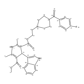 COC(=O)C1=C(C)NC(C)=C(C(=O)OCCN2CCC(C(=O)c3ccc(F)cc3)CC2)C1c1c[nH]c2ccccc12